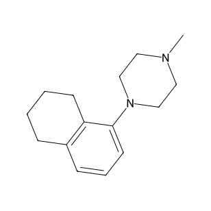 CN1CCN(c2cccc3c2CCCC3)CC1